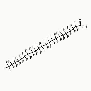 O=C(O)C(F)(F)C(F)(F)C(F)(F)C(F)(F)C(F)(F)C(F)(F)C(F)(F)C(F)(F)C(F)(F)C(F)(F)C(F)(F)C(F)(F)C(F)(F)C(F)(F)C(F)(F)C(F)(F)C(F)(F)C(F)(F)C(F)(F)C(F)(F)C(F)(F)F